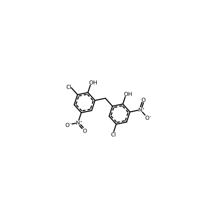 O=[N+]([O-])c1cc(Cl)c(O)c(Cc2cc(Cl)cc([N+](=O)[O-])c2O)c1